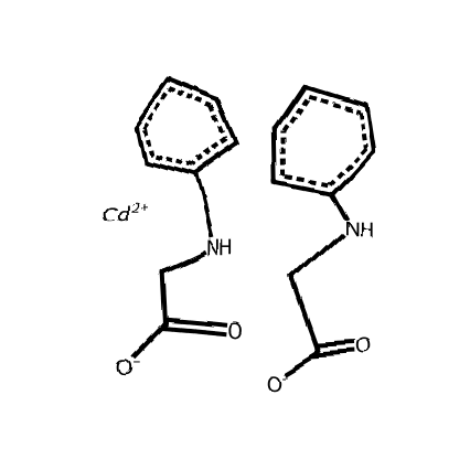 O=C([O-])CNc1ccccc1.O=C([O-])CNc1ccccc1.[Cd+2]